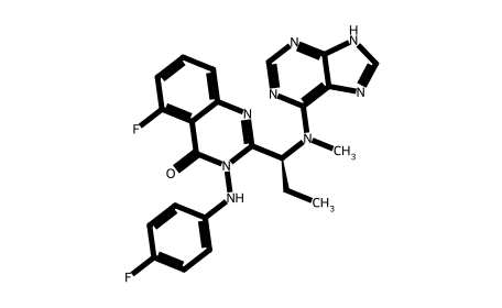 CC[C@@H](c1nc2cccc(F)c2c(=O)n1Nc1ccc(F)cc1)N(C)c1ncnc2[nH]cnc12